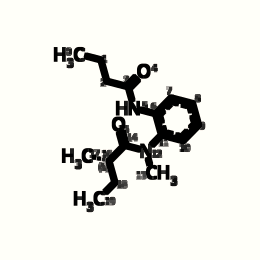 CCCC(=O)Nc1ccccc1N(C)C(=O)[C@@H](C)CC